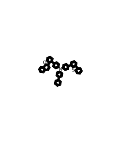 c1ccc(-c2ccc(N(c3ccc(-c4cccc5c4sc4ccccc45)cc3)c3ccc(-c4cccc5oc6c7ccccc7ccc6c45)cc3)cc2)cc1